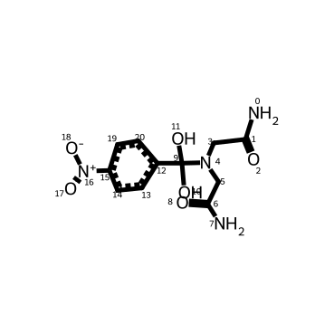 NC(=O)CN(CC(N)=O)C(O)(O)c1ccc([N+](=O)[O-])cc1